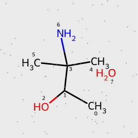 CC(O)C(C)(C)N.O